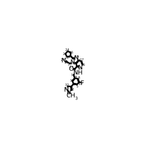 Cn1cc(-c2cc(F)cc(CNC(=O)c3nccc4nc(C5CCCC5)n(CC#N)c34)c2)cn1